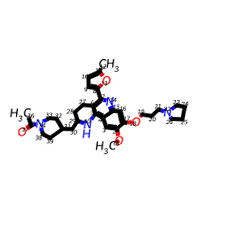 COc1cc2c3c(c(-c4ccc(C)o4)nc2cc1OCCCN1CCCC1)CCC(CC1CCN(C(C)=O)CC1)N3